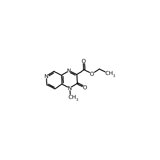 CCOC(=O)c1nc2cnccc2n(C)c1=O